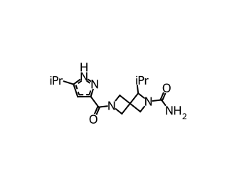 CC(C)c1cc(C(=O)N2CC3(C2)CN(C(N)=O)C3C(C)C)n[nH]1